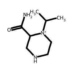 CC(C)[N+]1CCNCC1C(N)=O